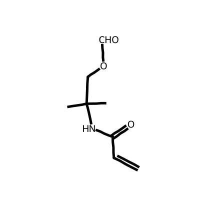 C=CC(=O)NC(C)(C)COC=O